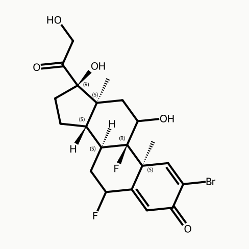 C[C@]12C=C(Br)C(=O)C=C1C(F)C[C@H]1[C@@H]3CC[C@](O)(C(=O)CO)[C@@]3(C)CC(O)[C@@]12F